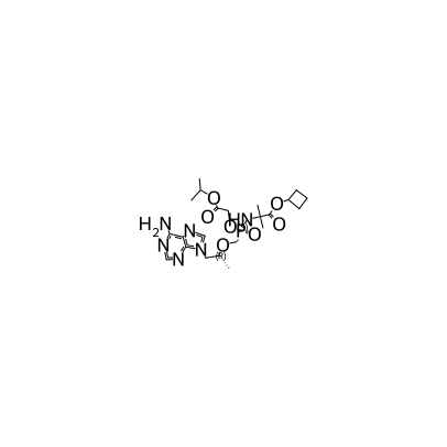 CC(C)OC(=O)CO[P@@](=O)(CO[C@H](C)Cn1cnc2c(N)ncnc21)NC(C)(C)C(=O)OC1CCC1